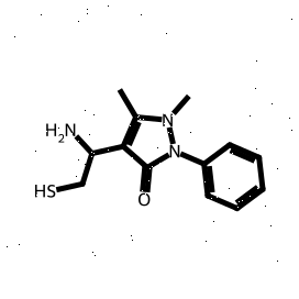 Cc1c(C(N)CS)c(=O)n(-c2ccccc2)n1C